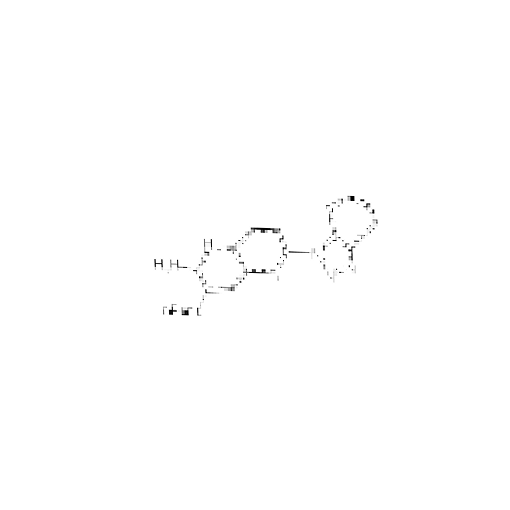 CCCCCc1cc2nc(-n3nnc4ccccc43)ccc2nc1N